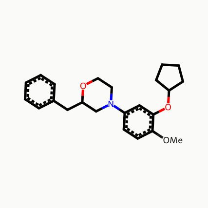 COc1ccc(N2CCOC(Cc3ccccc3)C2)cc1OC1CCCC1